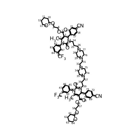 CC1=C(C(=O)OCCOC2CCCCO2)C(c2ccc(C#N)cc2)N(CCCN2CCN(CCN3CCN(CCCN4C(=O)N(c5cccc(C(F)(F)F)c5)C(C)=C(C(=O)OCCOC5CCCCO5)C4c4ccc(C#N)cc4)CC3)CC2)C(=O)N1c1cccc(C(F)(F)F)c1